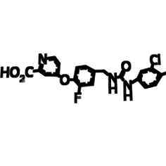 Cc1ccc(NC(=O)NCc2ccc(Oc3ccnc(C(=O)O)c3)c(F)c2)cc1Cl